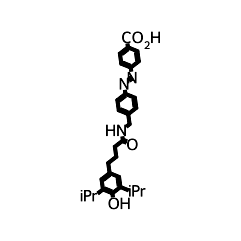 CC(C)c1cc(CCCC(=O)NCc2ccc(N=Nc3ccc(C(=O)O)cc3)cc2)cc(C(C)C)c1O